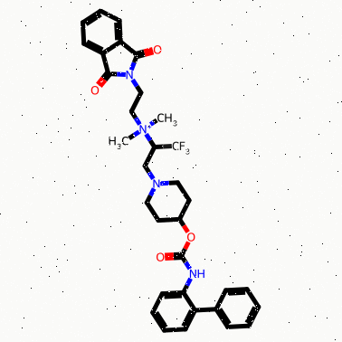 C[N+](C)(CCN1C(=O)c2ccccc2C1=O)C(CN1CCC(OC(=O)Nc2ccccc2-c2ccccc2)CC1)C(F)(F)F